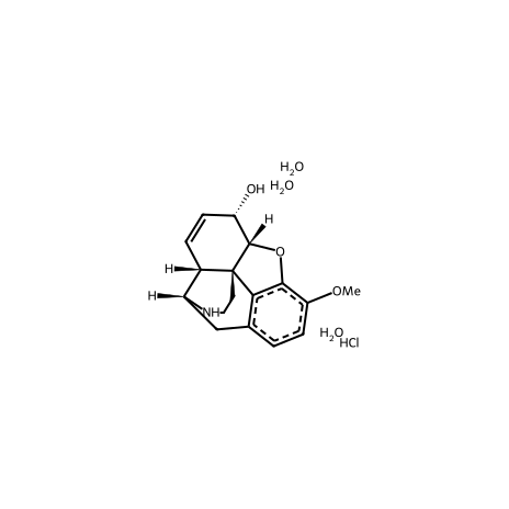 COc1ccc2c3c1O[C@H]1[C@@H](O)C=C[C@H]4[C@@H](C2)NCC[C@@]341.Cl.O.O.O